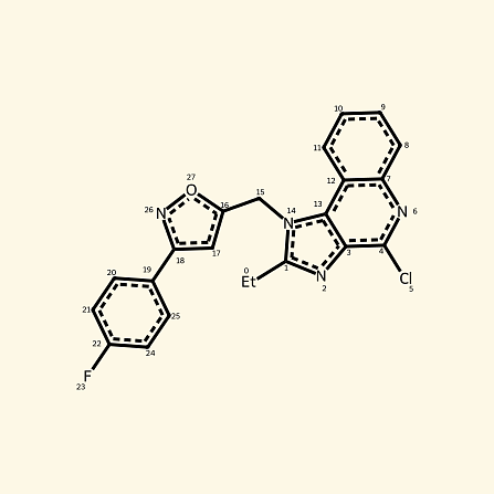 CCc1nc2c(Cl)nc3ccccc3c2n1Cc1cc(-c2ccc(F)cc2)no1